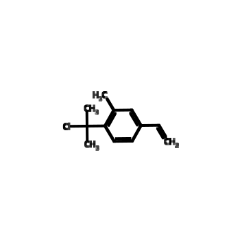 C=Cc1ccc(C(C)(C)Cl)c(C)c1